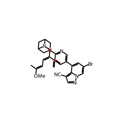 C=C/C(=C\C=C(/C)OC)CN1C2CC1CN(c1ccc(-c3cc(Br)cn4ncc(C#N)c34)cn1)C2